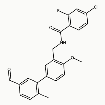 COc1ccc(-c2cc(C=O)ccc2C)cc1CNC(=O)c1ccc(Cl)cc1F